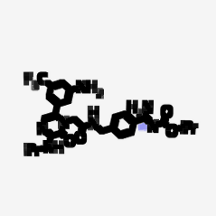 CC(C)Nc1ncc(-c2cc(N)cc(C(F)(F)F)c2)n(CC(=O)NCc2ccc(/C(N)=N/C(=O)OC(C)C)cc2)c1=O